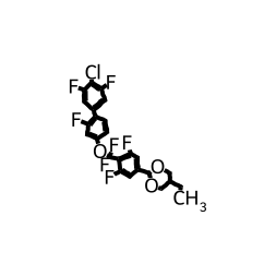 CCC1COC(c2cc(F)c(C(F)(F)Oc3ccc(-c4cc(F)c(Cl)c(F)c4)c(F)c3)c(F)c2)OC1